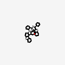 c1ccc(-c2nc(-c3ccccc3-n3c4ccccc4c4c5c(ccc43)sc3ccccc35)nc3c2sc2ccccc23)cc1